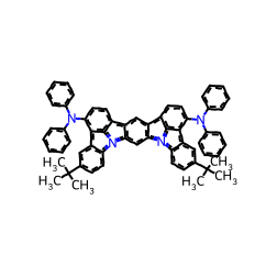 CC(C)(C)c1ccc2c(c1)c1c(N(c3ccccc3)c3ccccc3)ccc3c4cc5c6ccc(N(c7ccccc7)c7ccccc7)c7c8cc(C(C)(C)C)ccc8n(c5cc4n2c31)c67